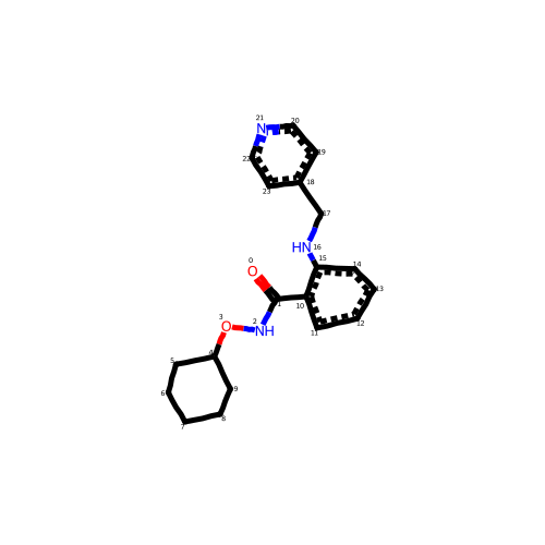 O=C(NOC1CCCCC1)c1ccccc1NCc1ccncc1